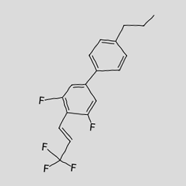 CCCc1ccc(-c2cc(F)c(C=CC(F)(F)F)c(F)c2)cc1